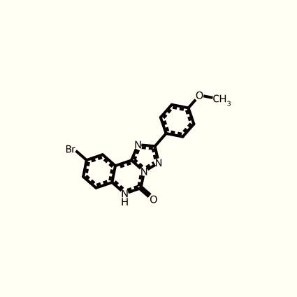 COc1ccc(-c2nc3c4cc(Br)ccc4[nH]c(=O)n3n2)cc1